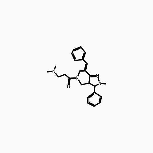 CN(C)CCC(=O)N1C/C(=C\c2ccccc2)C2=NN(C)C(c3ccccc3)C2C1